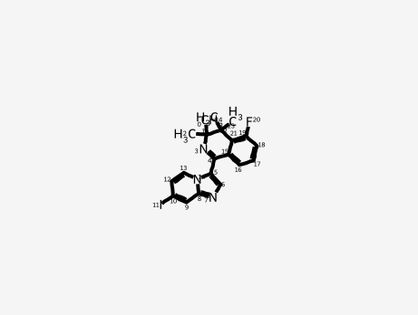 CC1(C)N=C(c2cnc3cc(I)ccn23)c2cccc(F)c2C1(C)C